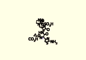 Nc1nc(/C(=N/OC2(C(=O)O)CC2)C(=O)N[C@@H]2C(=O)N(S(=O)(=O)O)[C@@H]2CN2CCNS2(=O)=O)cs1